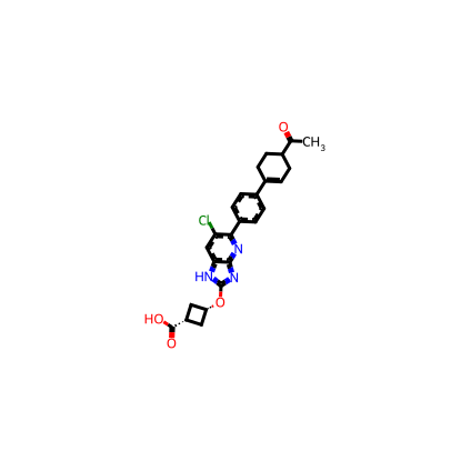 CC(=O)C1CC=C(c2ccc(-c3nc4nc(O[C@H]5C[C@@H](C(=O)O)C5)[nH]c4cc3Cl)cc2)CC1